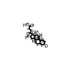 C[C@]12C=CC(=O)C=C1CC[C@H]1[C@@H]3C[C@H](CF)[C@](O)(C(=O)CCC(=O)O)[C@@]3(C)C[C@@H]3O[C@@]312